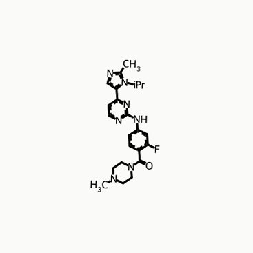 Cc1ncc(-c2ccnc(Nc3ccc(C(=O)N4CCN(C)CC4)c(F)c3)n2)n1C(C)C